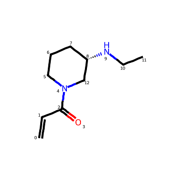 C=CC(=O)N1CCC[C@H](NCC)C1